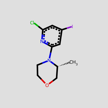 C[C@@H]1COCCN1c1cc(I)cc(Cl)n1